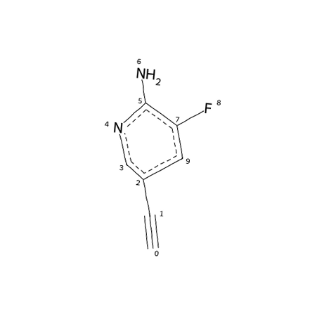 C#Cc1cnc(N)c(F)c1